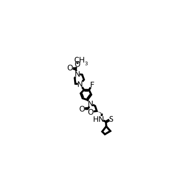 COC(=O)N1CCN(c2ccc(N3C[C@H](CNC(=S)C4CCC4)OC3=O)cc2F)CC1